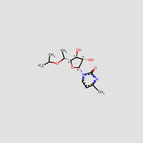 Cc1ccn([C@@H]2O[C@H](C(C)OC(C)C)[C@@H](O)[C@@H]2O)c(=O)n1